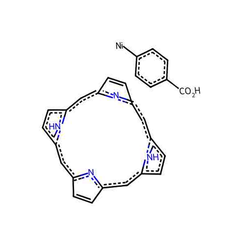 C1=Cc2cc3ccc(cc4nc(cc5ccc(cc1n2)[nH]5)C=C4)[nH]3.O=C(O)c1cc[c]([Ni])cc1